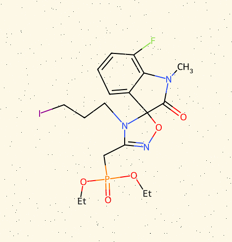 CCOP(=O)(CC1=NOC2(C(=O)N(C)c3c(F)cccc32)N1CCCI)OCC